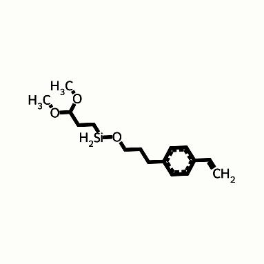 C=Cc1ccc(CCCO[SiH2]CCC(OC)OC)cc1